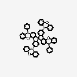 c1ccc(B2c3ccccc3Oc3c2ccc2c3-c3cc(N4c5ccccc5Oc5ccccc54)ccc3C23c2ccc(N4c5ccccc5Oc5ccccc54)cc2-c2c3ccc3c2Oc2ccccc2B3c2ccccc2)cc1